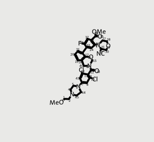 COCCN1CCN(c2cc(Cl)c(C(=O)N3COc4c(cccc4-c4cc(N5CCOCC5C#N)c(C(=O)OC)cc4F)C3)c(Cl)c2)CC1